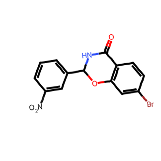 O=C1NC(c2cccc([N+](=O)[O-])c2)Oc2cc(Br)ccc21